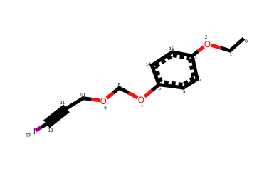 CCOc1ccc(OCOCC#CI)cc1